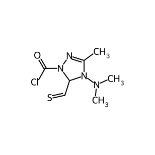 CC1=NN(C(=O)Cl)C(C=S)N1N(C)C